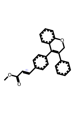 COC(=O)/C=C/c1ccc(C2=C(c3ccccc3)COc3ccccc32)cc1